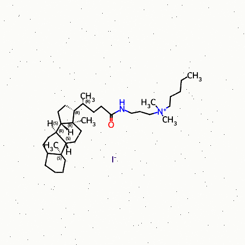 CCCCC[N+](C)(C)CCCNC(=O)CC[C@@H](C)[C@H]1CC[C@H]2[C@@H]3CCC4CCCC[C@]4(C)[C@H]3CC[C@]12C.[I-]